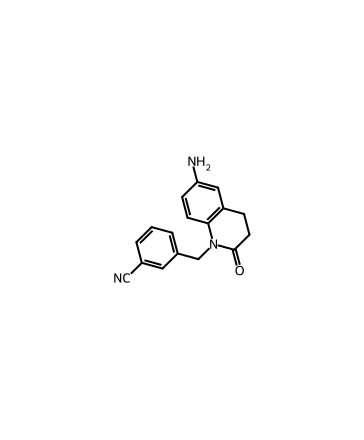 N#Cc1cccc(CN2C(=O)CCc3cc(N)ccc32)c1